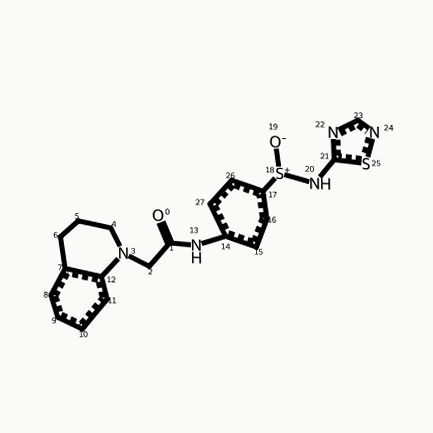 O=C(CN1CCCc2ccccc21)Nc1ccc([S+]([O-])Nc2ncns2)cc1